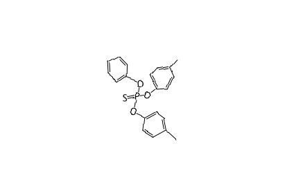 Cc1ccc(OP(=S)(Oc2ccccc2)Oc2ccc(C)cc2)cc1